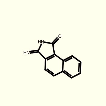 N=C1NC(=O)c2c1ccc1ccccc21